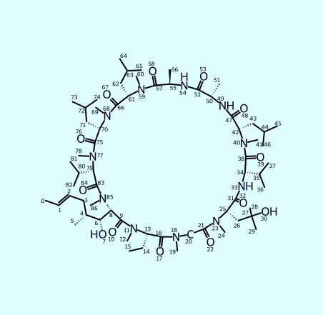 C/C=C/C[C@@H](C)[C@@H](O)[C@H]1C(=O)N(C)[C@@H](CC)C(=O)N(C)CC(=O)N(C)[C@@H](CC(C)(C)O)C(=O)N[C@@H](C(C)C)C(=O)N(C)[C@@H](CC(C)C)C(=O)N[C@@H](C)C(=O)N[C@H](C)C(=O)N(C)[C@@H](CC(C)C)C(=O)N(C)[C@@H](CC(C)C)C(=O)N(C)[C@@H](C(C)C)C(=O)N1C